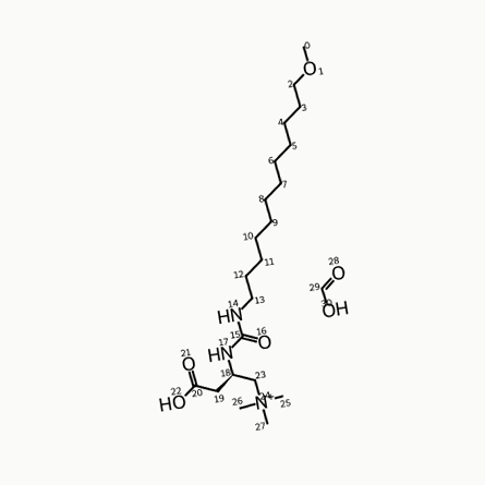 COCCCCCCCCCCCCNC(=O)N[C@H](CC(=O)O)C[N+](C)(C)C.O=CO